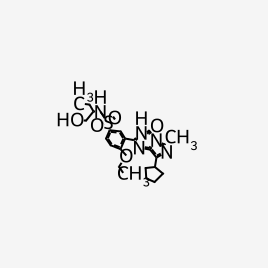 CCOc1ccc(S(=O)(=O)NC(CC)CO)cc1-c1nc2c(C3CCCC3)nc(C)n2c(=O)[nH]1